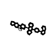 c1ccc2cc3c(cc2c1)oc1cc(-c2c4ccccc4c(-c4ccc(-c5cccc6ccccc56)cc4)c4ccccc24)ccc13